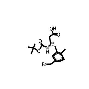 Cc1ccc(CBr)cc1C[C@@H](CC(=O)O)NC(=O)OC(C)(C)C